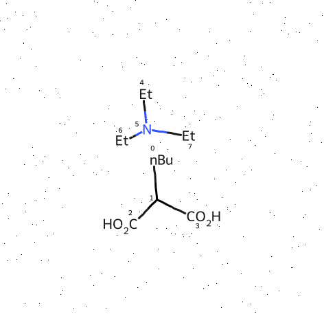 CCCCC(C(=O)O)C(=O)O.CCN(CC)CC